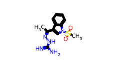 C/C(=N/NC(=N)N)c1cn(S(C)(=O)=O)c2ccccc12